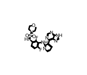 O=S(=O)(Nc1ccc(F)c(Nc2ncccc2-c2ncnc3[nH]cnc23)c1F)N1CCOCC1